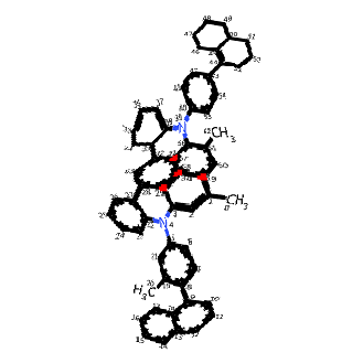 CC1=C=C(N(c2ccc(-c3cccc4ccccc34)c(C)c2)c2ccccc2-c2cccc(C3CC=CC=C3N(c3ccc(C4=C5CCCCC5CCC4)cc3)c3ccccc3C)c2)C=CC1